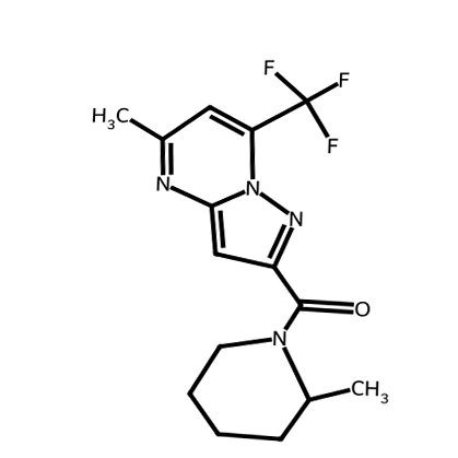 Cc1cc(C(F)(F)F)n2nc(C(=O)N3CCCCC3C)cc2n1